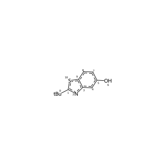 CC(C)(C)c1nc2cc(O)ccc2s1